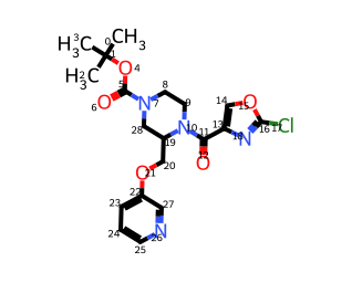 CC(C)(C)OC(=O)N1CCN(C(=O)c2coc(Cl)n2)C(COc2cccnc2)C1